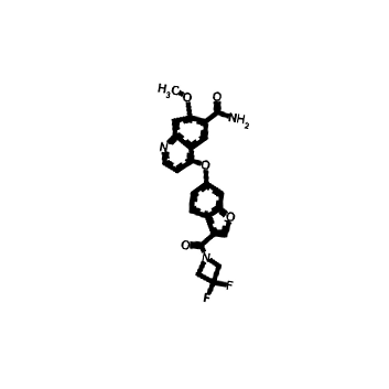 COc1cc2nccc(Oc3ccc4c(C(=O)N5CC(F)(F)C5)coc4c3)c2cc1C(N)=O